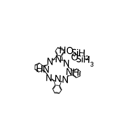 O[SiH2]O[SiH3].c1ccc2c(c1)-c1nc-2nc2[nH]c(nc3nc(nc4[nH]c(n1)c1ccccc41)-c1ccccc1-3)c1ccccc21